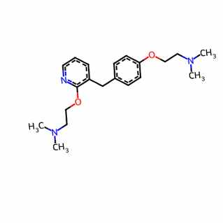 CN(C)CCOc1ccc(Cc2cccnc2OCCN(C)C)cc1